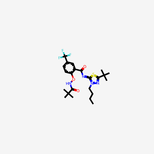 CCCCn1nc(C(C)(C)C)sc1=NC(=O)c1cc(C(F)(F)F)ccc1ONC(=O)C(C)(C)C